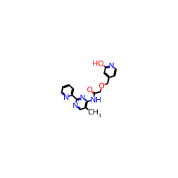 Cc1cnc(-c2ccccn2)nc1NC(=O)COCc1ccnc(O)c1